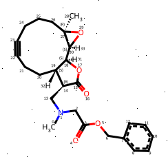 CN(CC(=O)OCc1ccccc1)C[C@@H]1C(=O)O[C@H]2[C@H]1CCC#CCCC[C@@]1(C)O[C@@H]21